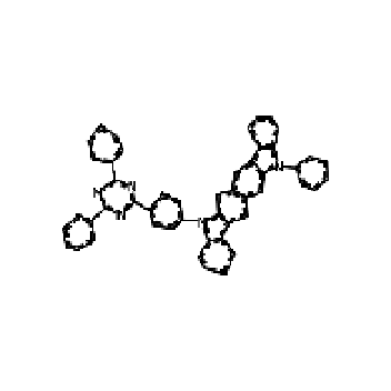 c1ccc(-c2nc(-c3ccccc3)nc(-c3ccc(-n4c5ccccc5c5cc6cc7c(cc6cc54)c4ccccc4n7-c4ccccc4)cc3)n2)cc1